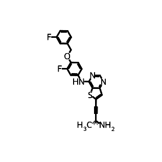 C[C@@H](N)C#Cc1cc2ncnc(Nc3ccc(OCc4cccc(F)c4)c(F)c3)c2s1